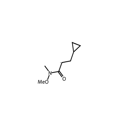 CON(C)C(=O)[CH]CC1CC1